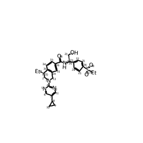 CC[C@@H]1CN(c2ncc(C3CC3)cn2)Cc2cc(C(=O)N[C@@H](CO)c3ccc(S(=O)(=O)CC)cc3)ccc21